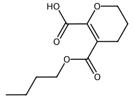 CCCCOC(=O)C1=C(C(=O)O)OCCC1